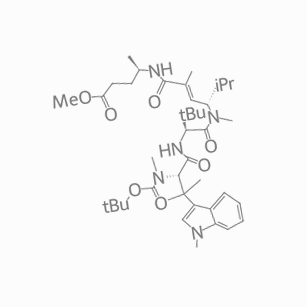 COC(=O)CC[C@@H](C)NC(=O)/C(C)=C/[C@H](C(C)C)N(C)C(=O)[C@@H](NC(=O)[C@@H](N(C)C(=O)OC(C)(C)C)C(C)(C)c1cn(C)c2ccccc12)C(C)(C)C